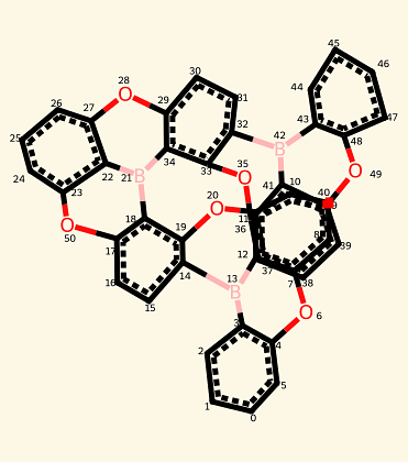 c1ccc2c(c1)Oc1cccc3c1B2c1ccc2c(c1O3)B1c3c(cccc3Oc3ccc4c(c31)Oc1cccc3c1B4c1ccccc1O3)O2